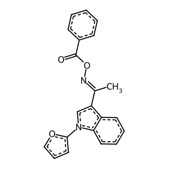 C/C(=N\OC(=O)c1ccccc1)c1cn(-c2ccco2)c2ccccc12